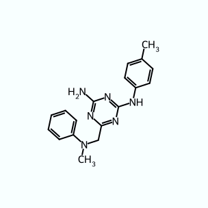 Cc1ccc(Nc2nc(N)nc(CN(C)c3ccccc3)n2)cc1